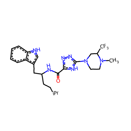 CC(C)CCC(Cc1c[nH]c2ccccc12)NC(=O)c1nnc(N2CCN(C)C(C(F)(F)F)C2)[nH]1